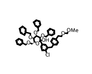 COCOCCc1ccc(Cc2cc(C3(O)O[C@H](COCc4ccccc4)[C@@H](OCc4ccccc4)[C@H](OCc4ccccc4)[C@H]3OCc3ccccc3)ccc2Cl)cc1